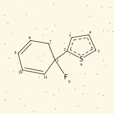 FC1(c2cccs2)[CH]C=C[C]=C1